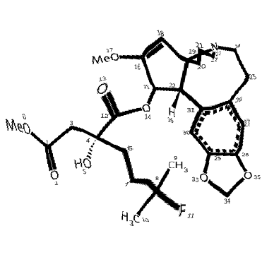 COC(=O)C[C@](O)(CCC(C)(C)F)C(=O)OC1C(OC)=CC23CCCN2CCc2cc4c(cc2[C@H]13)OCO4